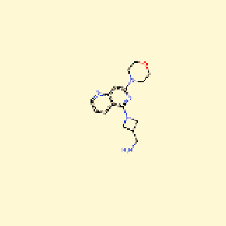 NCC1CN(c2nc(N3CCOCC3)cc3ncccc23)C1